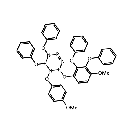 COc1ccc(On2p(Oc3ccc(OC)c(Oc4ccccc4)c3Oc3ccccc3)npn(Oc3ccccc3)p2Oc2ccccc2)cc1